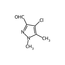 Cc1c(Cl)c(C=O)nn1C